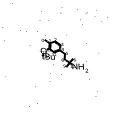 Cc1ccc(CCC(C)(C)N)cc1OC(C)(C)C